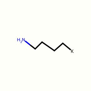 NCCC[CH2][K]